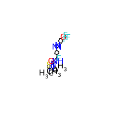 Cc1cccc(C)c1N1/C(=N/C(=O)N/C=C(\F)c2ccc(-c3ncn(-c4ccc(OC(F)(F)F)cc4)n3)cc2)SCCC1C